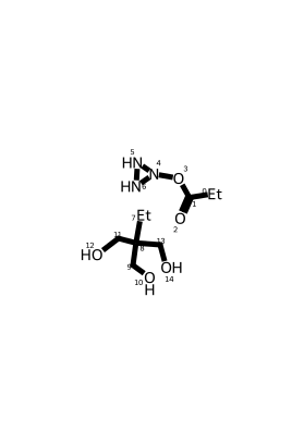 CCC(=O)On1[nH][nH]1.CCC(CO)(CO)CO